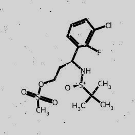 CC(C)(C)[S@@+]([O-])N[C@@H](CCOS(C)(=O)=O)c1cccc(Cl)c1F